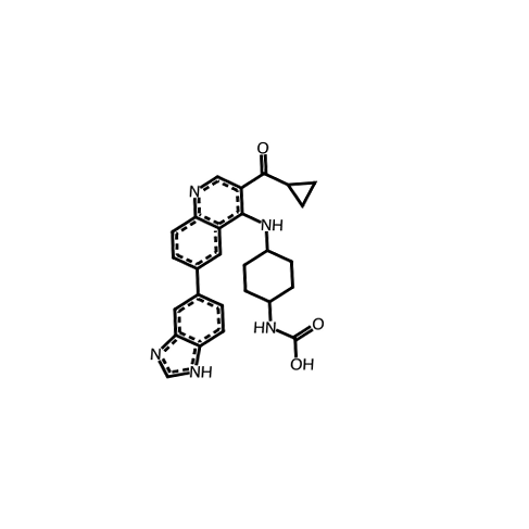 O=C(O)NC1CCC(Nc2c(C(=O)C3CC3)cnc3ccc(-c4ccc5[nH]cnc5c4)cc23)CC1